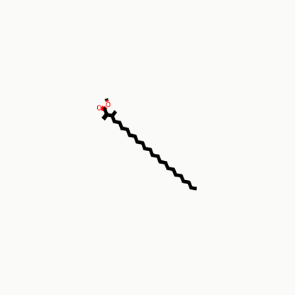 C=C(C(=O)OC)C(C)CCCCCCCCCCCCCCCCCCCCCC